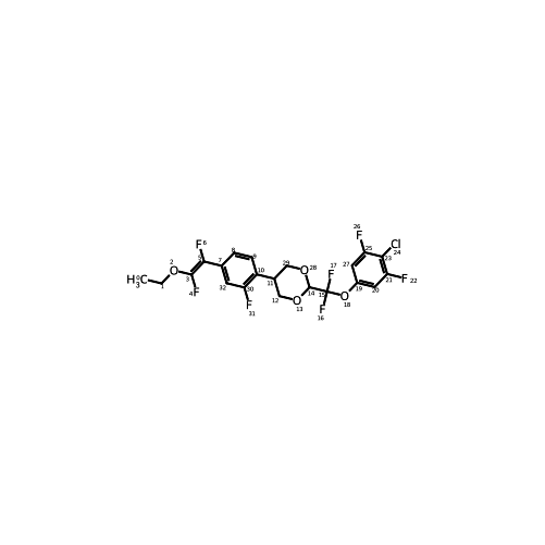 CCO/C(F)=C(\F)c1ccc(C2COC(C(F)(F)Oc3cc(F)c(Cl)c(F)c3)OC2)c(F)c1